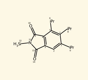 CC(C)c1cc2c(c(C(C)C)c1C(C)C)C(=O)N([SiH3])C2=O